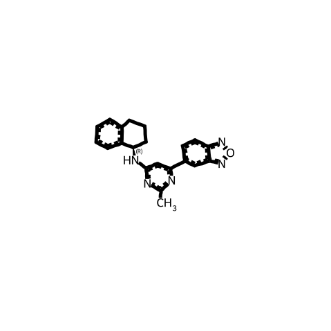 Cc1nc(N[C@@H]2CCCc3ccccc32)cc(-c2ccc3nonc3c2)n1